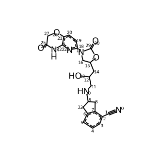 N#Cc1cccc2c1CC(NCC(O)CC1CN(c3ccc4c(n3)NC(=O)CO4)C(=O)O1)C2